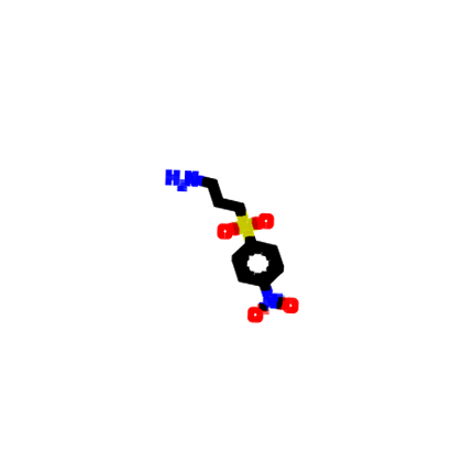 NCCCS(=O)(=O)c1ccc([N+](=O)[O-])cc1